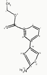 CCOC(=O)c1cccc(-c2csc(N)n2)c1